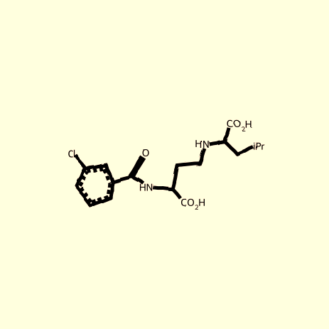 CC(C)CC(NCCC(NC(=O)c1cccc(Cl)c1)C(=O)O)C(=O)O